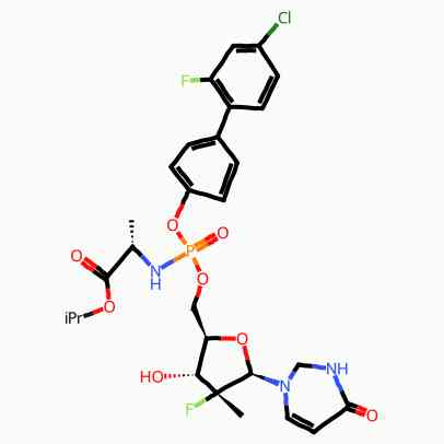 CC(C)OC(=O)[C@H](C)NP(=O)(OC[C@H]1O[C@@H](N2C=CC(=O)NC2)[C@](C)(F)[C@@H]1O)Oc1ccc(-c2ccc(Cl)cc2F)cc1